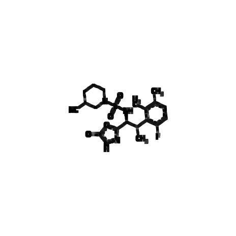 Cc1ccc(F)c(C(C)[C@H](NS(=O)(=O)N2CCCC(C#N)C2)c2n[nH]c(=O)o2)c1C